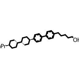 CCC[C@H]1CC[C@H]([C@H]2CC[C@H](c3ccc(-c4ccc(CCCCCO)cc4)cc3)CC2)CC1